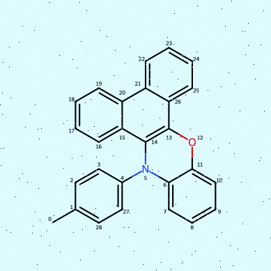 Cc1ccc(N2c3ccccc3Oc3c2c2ccccc2c2ccccc32)cc1